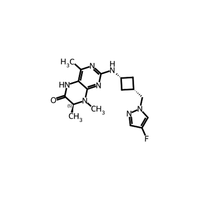 Cc1nc(N[C@H]2C[C@@H](Cn3cc(F)cn3)C2)nc2c1NC(=O)[C@H](C)N2C